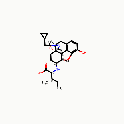 CC[C@H](C)[C@H](N[C@@H]1CC[C@@]2(OC)[C@H]3Cc4ccc(O)c5c4[C@@]2(CCN3CC2CC2)[C@H]1O5)C(=O)O